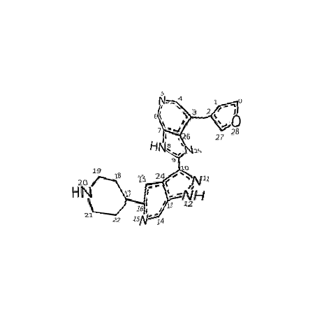 c1cc(-c2cncc3[nH]c(-c4n[nH]c5cnc(C6CCNCC6)cc45)nc23)co1